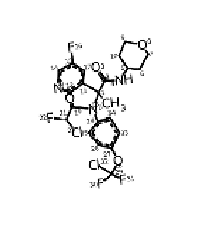 CC(C(=O)NC1CCOCC1)(c1cncc(F)c1)N(C(=O)[C@H](F)Cl)c1ccc(OC(F)(F)Cl)cc1